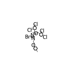 Cc1ccc(OCCCn2cc[n+](CC(OCc3ccc(Cl)cc3Cl)c3ccc(Cl)cc3Cl)c2)cc1.[Br-]